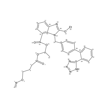 C=NOCCCC(=O)OC(C)OC(=O)c1cccc2nc(OCC)n(Cc3ccc(-c4ccccc4-c4nnn[nH]4)cc3)c12